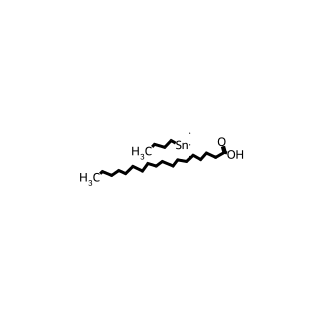 CCCCCCCCCCCCCCCCCC(=O)O.CCC[CH2][Sn]